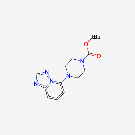 CC(C)(C)OC(=O)N1CCN(c2cccc3ncnn23)CC1